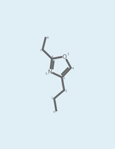 CCCc1coc(CC)n1